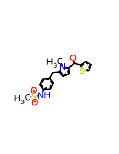 Cn1c(Cc2ccc(NS(C)(=O)=O)cc2)ccc1C(=O)c1cccs1